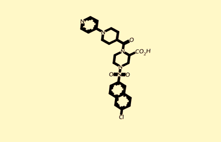 O=C(O)C1CN(S(=O)(=O)c2ccc3cc(Cl)ccc3c2)CCN1C(=O)C1CCN(c2ccncc2)CC1